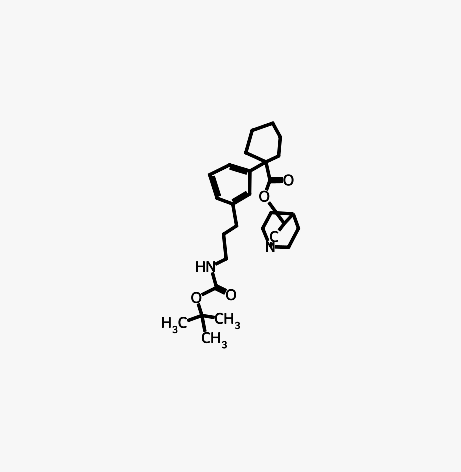 CC(C)(C)OC(=O)NCCCc1cccc(C2(C(=O)OC3CN4CCC3CC4)CCCCC2)c1